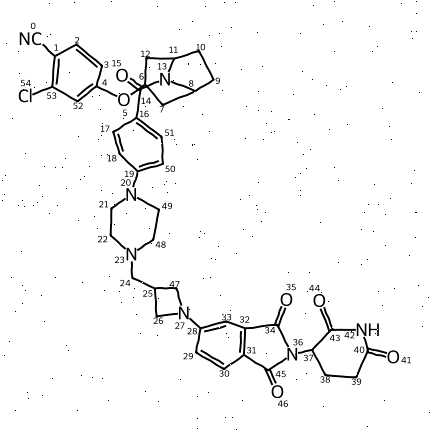 N#Cc1ccc(OC2CC3CCC(C2)N3C(=O)c2ccc(N3CCN(CC4CN(c5ccc6c(c5)C(=O)N(C5CCC(=O)NC5=O)C6=O)C4)CC3)cc2)cc1Cl